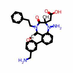 CC1(CC(=O)O)C(=O)N(CCc2ccccc2)C(=C=O)c2c(-c3cccc(CN)c3)cccc2N1N